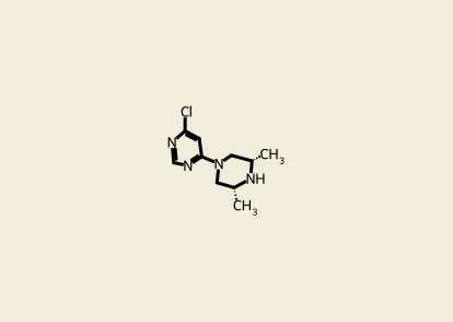 C[C@@H]1CN(c2cc(Cl)ncn2)C[C@H](C)N1